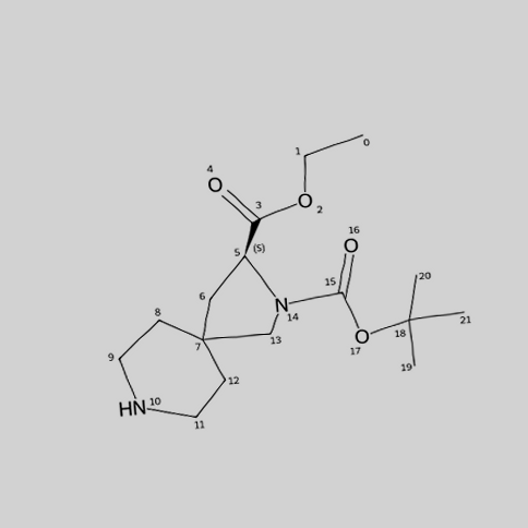 CCOC(=O)[C@@H]1CC2(CCNCC2)CN1C(=O)OC(C)(C)C